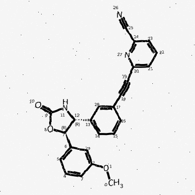 COc1cccc([C@H]2OC(=O)N[C@@H]2c2cccc(C#Cc3cccc(C#N)n3)c2)c1